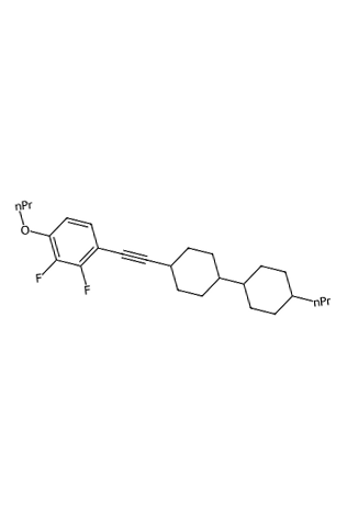 CCCOc1ccc(C#CC2CCC(C3CCC(CCC)CC3)CC2)c(F)c1F